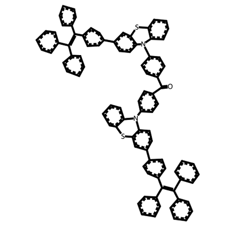 O=C(c1ccc(N2c3ccccc3Sc3cc(-c4ccc(C(=C(c5ccccc5)c5ccccc5)c5ccccc5)cc4)ccc32)cc1)c1ccc(N2c3ccccc3Sc3cc(-c4ccc(C(=C(c5ccccc5)c5ccccc5)c5ccccc5)cc4)ccc32)cc1